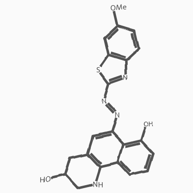 COc1ccc2nc(N=Nc3cc4c(c5cccc(O)c35)NCC(O)C4)sc2c1